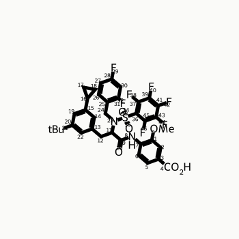 COc1cc(C(=O)O)ccc1NC(=O)C(Cc1cc(C2CC2)cc(C(C)(C)C)c1)N(Cc1ccc(F)cc1F)S(=O)(=O)c1c(F)c(F)c(F)c(F)c1F